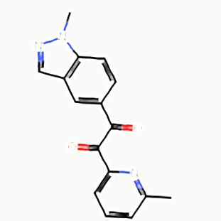 Cc1cccc(C(=O)C(=O)c2ccc3c(cnn3C)c2)n1